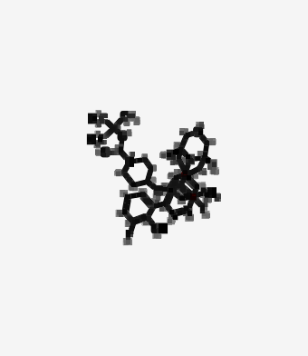 CC(C)(C)OC(=O)N1CCC(Oc2cc(F)cc(N3[C@@H]4COC[C@H]3CN(c3cc(-c5cccc(F)c5O)nnc3N)C4)c2)CC1